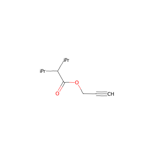 C#CCOC(=O)C(C(C)C)C(C)C